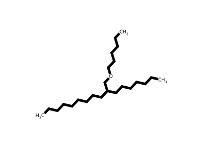 CCCCCCCCCC(CCCCCCC)COCCCCCC